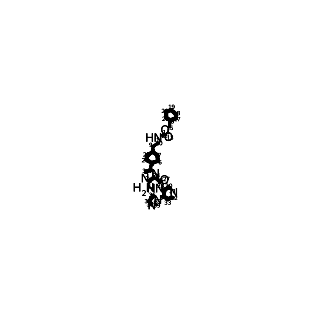 Nc1ncc(-c2ccc(CCNC(=O)OCc3ccccc3)cc2)nc1C(=O)Nc1cnccc1-n1ccnc1